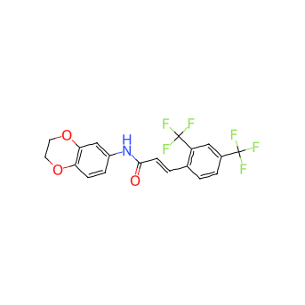 O=C(/C=C/c1ccc(C(F)(F)F)cc1C(F)(F)F)Nc1ccc2c(c1)OCCO2